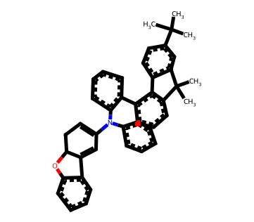 CC(C)(C)c1ccc2c(c1)C(C)(C)c1cccc(-c3ccccc3N(C3=CCC4Oc5ccccc5C4=C3)c3ccccc3)c1-2